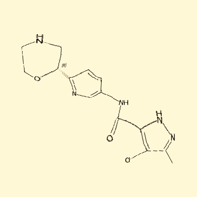 Cc1n[nH]c(C(=O)Nc2ccc([C@H]3CNCCO3)nc2)c1Cl